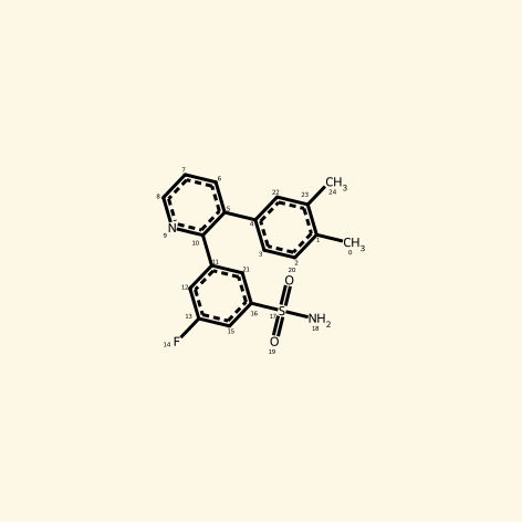 Cc1ccc(-c2cccnc2-c2cc(F)cc(S(N)(=O)=O)c2)cc1C